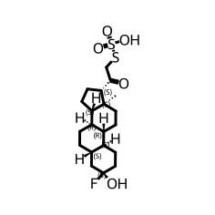 C[C@]12CC[C@H]3[C@@H](CC[C@H]4C[C@@](O)(F)CC[C@@H]43)[C@@H]1CC[C@@H]2C(=O)CSS(=O)(=O)O